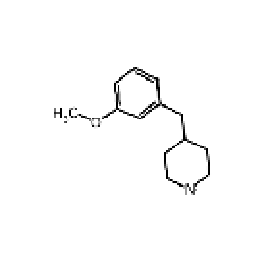 COc1cccc(CC2CC[N]CC2)c1